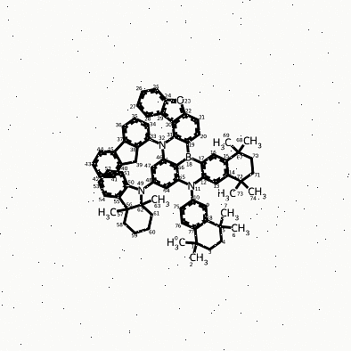 CC1(C)CCC(C)(C)c2cc(N3c4cc5c(cc4B4c6ccc7oc8ccccc8c7c6N(c6cccc7c6Cc6ccccc6-7)c6cc(N7c8ccccc8C8(C)CCCCC78C)cc3c64)C(C)(C)CCC5(C)C)ccc21